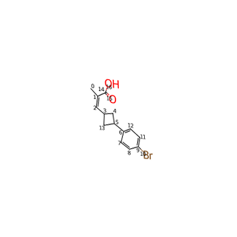 CC(=CC1CC(c2ccc(Br)cc2)C1)C(=O)O